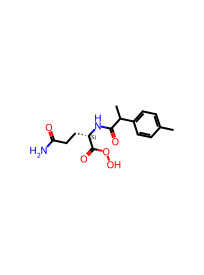 Cc1ccc(C(C)C(=O)N[C@@H](CCC(N)=O)C(=O)OO)cc1